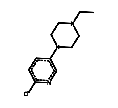 CCN1CCN(c2ccc(Cl)nc2)CC1